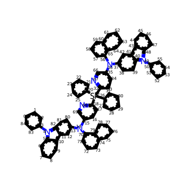 c1ccc(-n2c3ccccc3c3cc(N(c4ccc([Si](c5ccccc5)(c5ccccc5)c5ccc(N(c6ccc7c(c6)c6ccccc6n7-c6ccccc6)c6cccc7ccccc67)cn5)nc4)c4cccc5ccccc45)ccc32)cc1